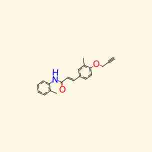 C#CCOc1ccc(/C=C/C(=O)Nc2ccccc2C)cc1C